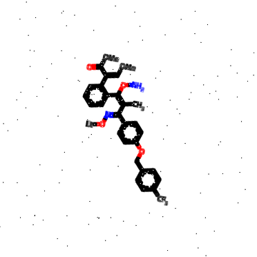 CCON=C(C(C)=C(ON)c1ccccc1C(=COC)C(=O)OC)c1ccc(OCc2ccc(C(F)(F)F)cc2)cc1